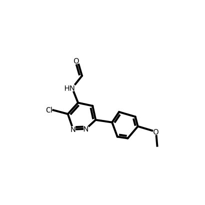 COc1ccc(-c2cc(NC=O)c(Cl)nn2)cc1